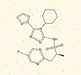 C[C@@H](Cc1ncc(F)cn1)S(=O)(=O)Nc1nnc(-c2ccco2)n1C1CCCCC1